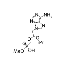 COP(=O)(O)COC(Cn1cnc2c(N)ncnc21)OC(C)C